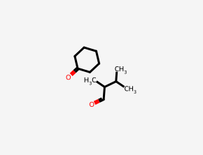 CC(C)C(C)C=O.O=C1CCCCC1